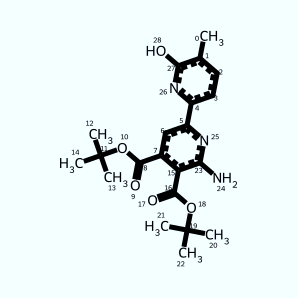 Cc1ccc(-c2cc(C(=O)OC(C)(C)C)c(C(=O)OC(C)(C)C)c(N)n2)nc1O